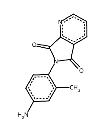 Cc1cc(N)ccc1N1C(=O)c2cccnc2C1=O